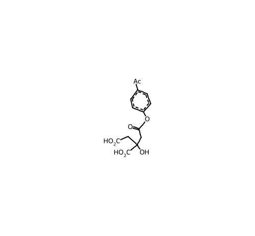 CC(=O)c1ccc(OC(=O)CC(O)(CC(=O)O)C(=O)O)cc1